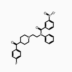 O=C(c1ccc(F)cc1)C1CCN(CCN(C(=O)c2cccc([N+](=O)[O-])c2)c2ccccc2)CC1